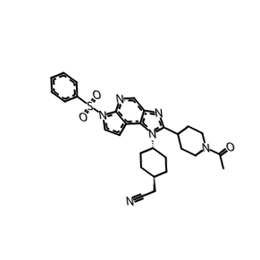 CC(=O)N1CCC(c2nc3cnc4c(ccn4S(=O)(=O)c4ccccc4)c3n2[C@H]2CC[C@H](CC#N)CC2)CC1